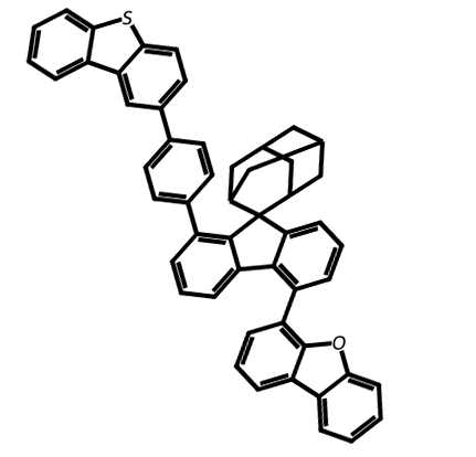 c1cc(-c2ccc(-c3ccc4sc5ccccc5c4c3)cc2)c2c(c1)-c1c(-c3cccc4c3oc3ccccc34)cccc1C21C2CC3CC(C2)CC1C3